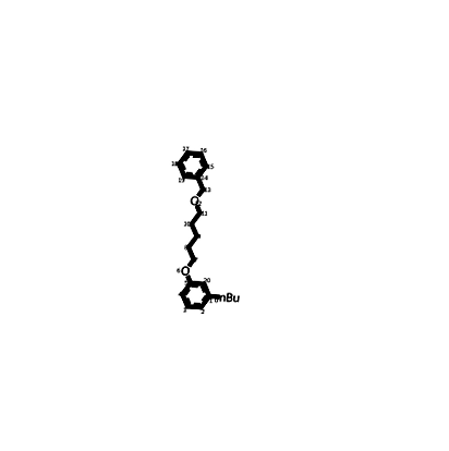 CCCCc1cccc(OCCCCCOCc2ccccc2)c1